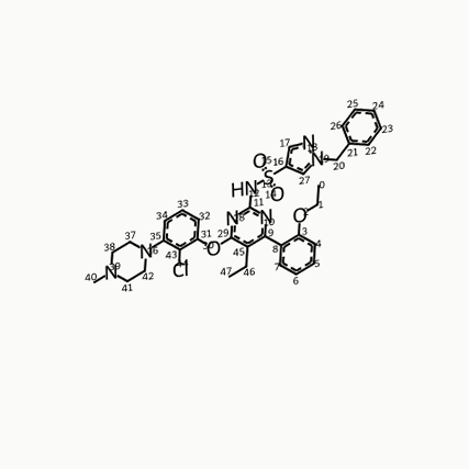 CCOc1ccccc1-c1nc(NS(=O)(=O)c2cnn(Cc3ccccc3)c2)nc(Oc2cccc(N3CCN(C)CC3)c2Cl)c1CC